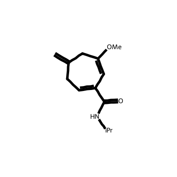 C=C1CC=C(C(=O)NC(C)C)C=C(OC)C1